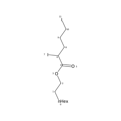 CCCCCCCCOC(=O)C(I)CCCI